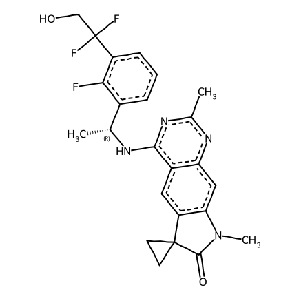 Cc1nc(N[C@H](C)c2cccc(C(F)(F)CO)c2F)c2cc3c(cc2n1)N(C)C(=O)C31CC1